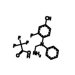 N#Cc1ccc(N(CN)c2ccccc2)c(F)c1.O=C(O)C(F)(F)F